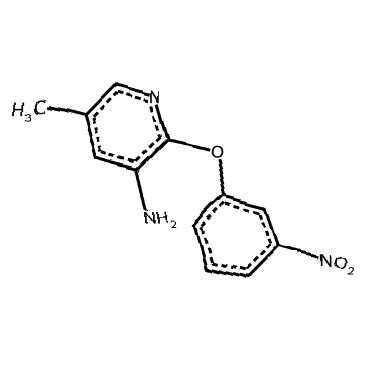 Cc1cnc(Oc2cccc([N+](=O)[O-])c2)c(N)c1